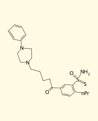 CCCc1ccc(C(=O)CCCCN2CCN(c3ccccc3)CC2)cc1S(N)(=O)=S